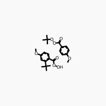 COc1ccc(C(=O)OO)c(C(C)(C)C)c1.COc1ccc(C(=O)OOC(C)(C)C)cc1